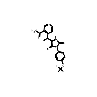 CC(c1ccncc1C(N)=O)C1NC(=O)N(c2ccc(OC(F)(F)F)cc2)C1=O